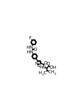 CC(C)C(NC(=O)c1cc(-c2ccc(NC(=O)Nc3cccc(F)c3)cc2)no1)C(=O)O